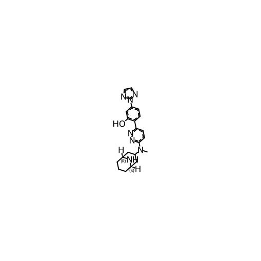 CN(c1ccc(-c2ccc(-n3nccn3)cc2O)nn1)C1C[C@H]2CCC[C@@H](C1)N2